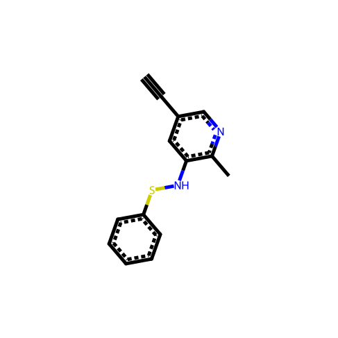 C#Cc1cnc(C)c(NSc2ccccc2)c1